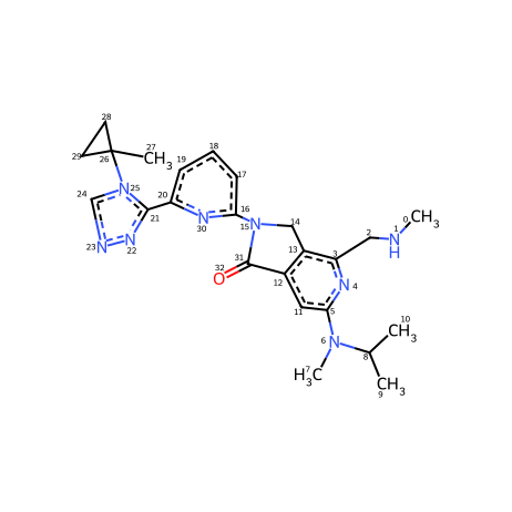 CNCc1nc(N(C)C(C)C)cc2c1CN(c1cccc(-c3nncn3C3(C)CC3)n1)C2=O